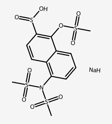 CS(=O)(=O)Oc1c(S(=O)O)ccc2c(N(S(C)(=O)=O)S(C)(=O)=O)cccc12.[NaH]